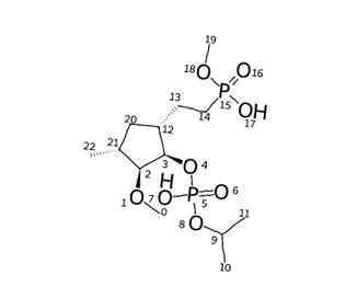 CO[C@@H]1[C@H](OP(=O)(O)OC(C)C)[C@@H](CCP(=O)(O)OC)C[C@H]1C